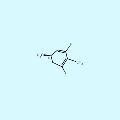 CC1=C(F)C[C@@H](C)C=C1F